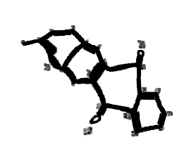 Cc1ccc2cc3c(cc2c1)C(=O)c1ccccc1C3=O